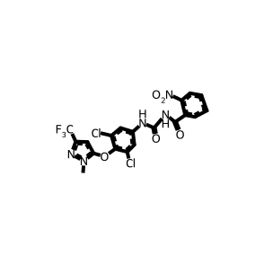 Cn1nc(C(F)(F)F)cc1Oc1c(Cl)cc(NC(=O)NC(=O)c2ccccc2[N+](=O)[O-])cc1Cl